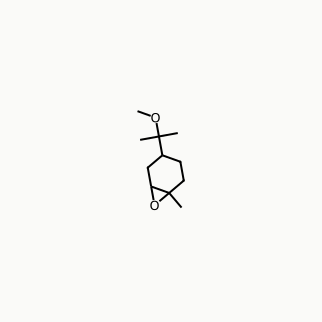 COC(C)(C)C1CCC2(C)OC2C1